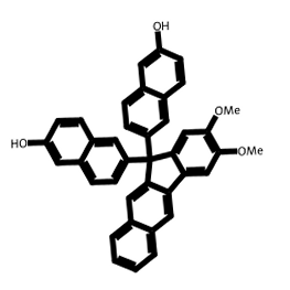 COc1cc2c(cc1OC)C(c1ccc3cc(O)ccc3c1)(c1ccc3cc(O)ccc3c1)c1cc3ccccc3cc1-2